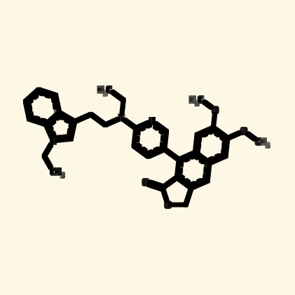 CCN(CCc1cn(CC)c2ccccc12)c1ccc(-c2c3c(cc4cc(OC)c(OC)cc24)COC3=O)cn1